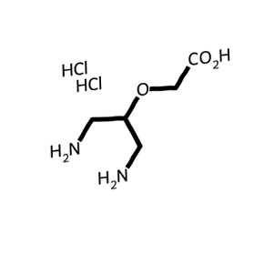 Cl.Cl.NCC(CN)OCC(=O)O